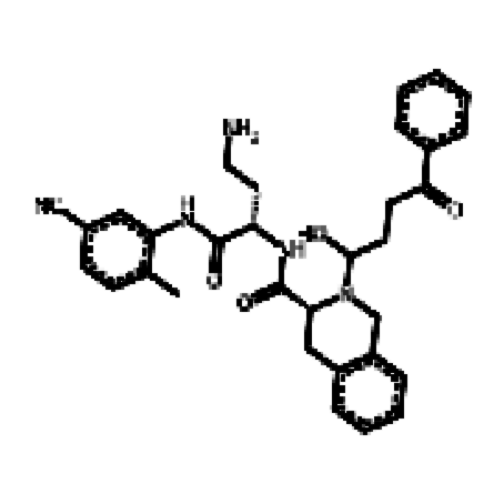 Cc1ccc(C#N)cc1NC(=O)[C@H](CCN)NC(=O)[C@@H]1Cc2ccccc2CN1C(O)CCC(=O)c1ccccc1